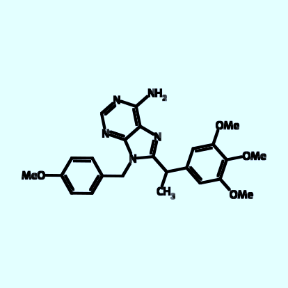 COc1ccc(Cn2c(C(C)c3cc(OC)c(OC)c(OC)c3)nc3c(N)ncnc32)cc1